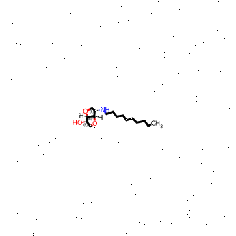 CCCCCCCCCCN[C@H]1CO[C@H]2[C@@H]1OC[C@H]2O